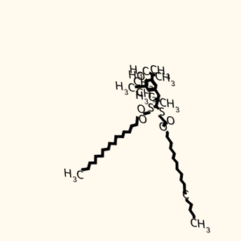 CCCCCCCCCCCCCCCCCCOC(=O)CSC(SCC(=O)OCCCCCCCCCCCCCCCCCC)C(C)(C)Cc1cc(C(C)(C)C)c(O)c(C(C)(C)C)c1